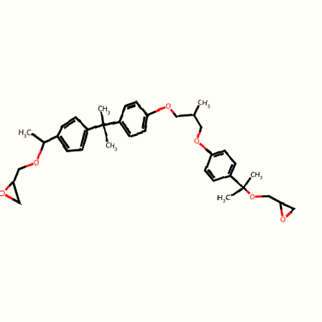 CC(COc1ccc(C(C)(C)OCC2CO2)cc1)COc1ccc(C(C)(C)c2ccc(C(C)OCC3CO3)cc2)cc1